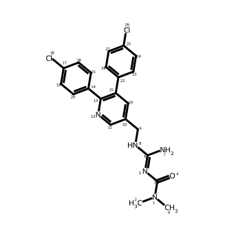 CN(C)C(=O)/N=C(\N)NCc1cnc(-c2ccc(Cl)cc2)c(-c2ccc(Cl)cc2)c1